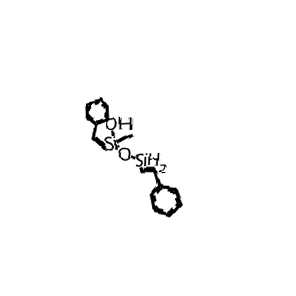 C[Si](O)(/C=C\c1ccccc1)O[SiH2]/C=C/c1ccccc1